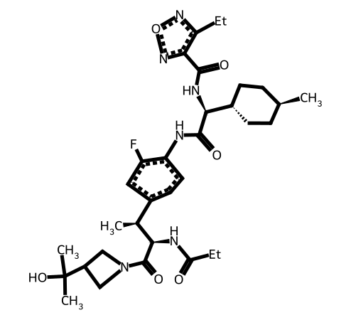 CCC(=O)N[C@@H](C(=O)N1CC(C(C)(C)O)C1)[C@@H](C)c1ccc(NC(=O)[C@@H](NC(=O)c2nonc2CC)[C@H]2CC[C@H](C)CC2)c(F)c1